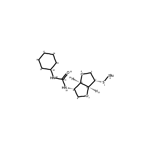 CC(C)(C)S[C@H]1CO[C@H]2[C@@H]1OC[C@@H]2NC(=O)NC1CCCCC1